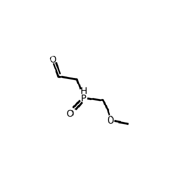 COC[PH](=O)CC=O